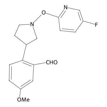 COc1ccc(C2CCN(Oc3ccc(F)cn3)C2)c(C=O)c1